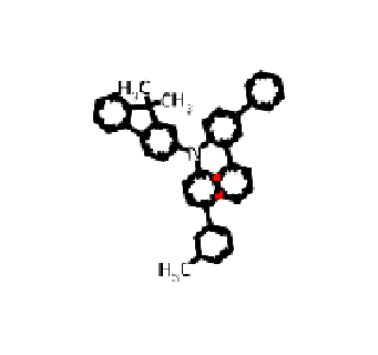 CC1C=CC=C(c2ccc(N(c3ccc4c(c3)C(C)(C)c3ccccc3-4)c3ccc(-c4ccccc4)cc3-c3ccccc3)cc2)C1